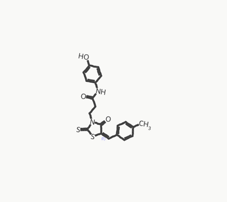 Cc1ccc(/C=C2/SC(=S)N(CCC(=O)Nc3ccc(O)cc3)C2=O)cc1